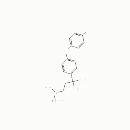 CCCCCCN(CCCCCC)CCC(C)(O)c1ccc(Oc2ccc(Cl)cc2)cc1